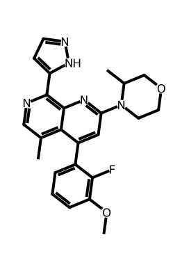 COc1cccc(-c2cc(N3CCOCC3C)nc3c(-c4ccn[nH]4)ncc(C)c23)c1F